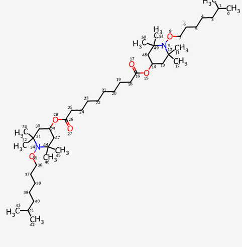 CC(C)CCCCCON1C(C)(C)CC(OC(=O)CCCCCCCCC(=O)OC2CC(C)(C)N(OCCCCCC(C)C)C(C)(C)C2)CC1(C)C